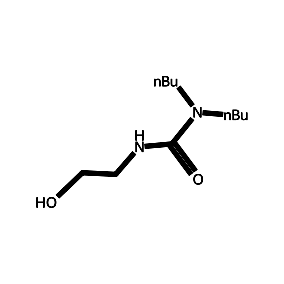 CCCCN(CCCC)C(=O)NCCO